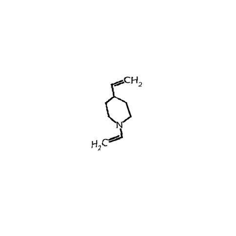 C=CC1CCN(C=C)CC1